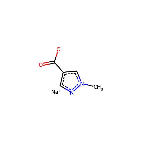 Cn1cc(C(=O)[O-])cn1.[Na+]